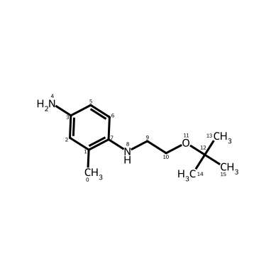 Cc1cc(N)ccc1NCCOC(C)(C)C